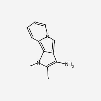 Cc1c(N)c2cn3ccccc3c2n1C